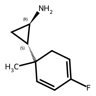 CC1([C@@H]2C[C@H]2N)C=CC(F)=CC1